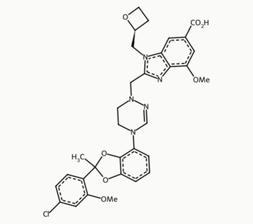 COc1cc(Cl)ccc1C1(C)Oc2cccc(N3C=NN(Cc4nc5c(OC)cc(C(=O)O)cc5n4C[C@@H]4CCO4)CC3)c2O1